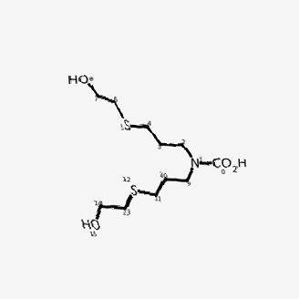 O=C(O)N(CCCSCCO)CCCSCCO